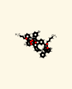 CCCCCCC(C)(CC)c1ccc2c(c1)C13c4cc(N(c5ccc(Br)cc5)c5ccccc5-c5ccccc5)ccc4-c4ccc(cc41)N(c1ccccc1-c1ccccc1)c1ccc(Br)c4c1C(CCCCCC)(C4)c1ccc-2c3c1